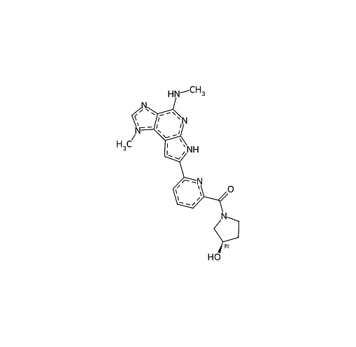 CNc1nc2[nH]c(-c3cccc(C(=O)N4CC[C@@H](O)C4)n3)cc2c2c1ncn2C